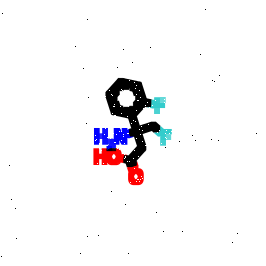 NC(CF)(CC(=O)O)c1ccccc1F